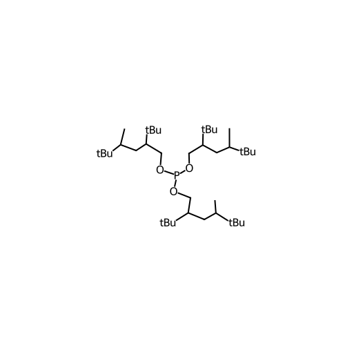 CC(CC(COP(OCC(CC(C)C(C)(C)C)C(C)(C)C)OCC(CC(C)C(C)(C)C)C(C)(C)C)C(C)(C)C)C(C)(C)C